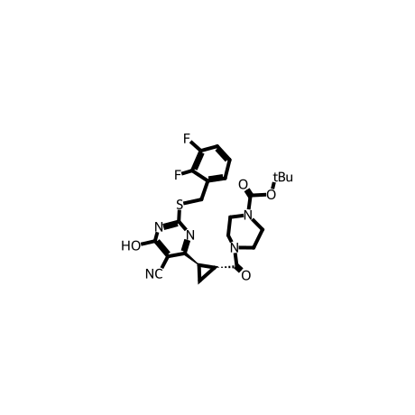 CC(C)(C)OC(=O)N1CCN(C(=O)[C@@H]2C[C@H]2c2nc(SCc3cccc(F)c3F)nc(O)c2C#N)CC1